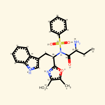 Cc1oc([C@@H](Cc2c[nH]c3ccccc23)N(C(=O)[C@@H](N)CC(C)C)S(=O)(=O)c2ccccc2)nc1C(=O)O